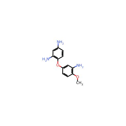 COc1ccc(Oc2ccc(N)cc2N)cc1N